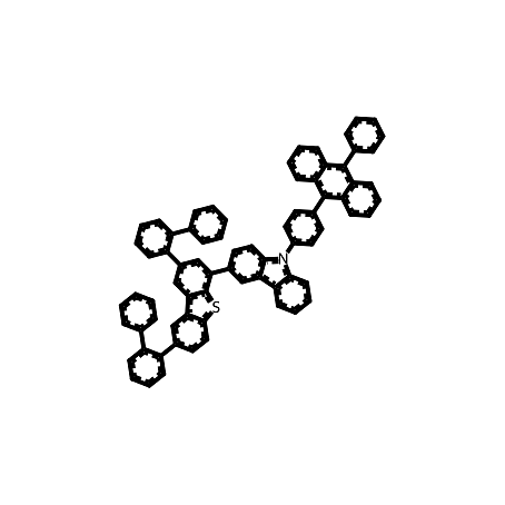 c1ccc(-c2ccccc2-c2ccc3sc4c(-c5ccc6c(c5)c5ccccc5n6-c5ccc(-c6c7ccccc7c(-c7ccccc7)c7ccccc67)cc5)cc(-c5ccccc5-c5ccccc5)cc4c3c2)cc1